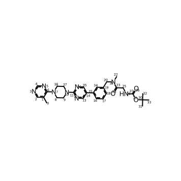 Cc1cncnc1N1CCN(c2ncc(-c3cccc(CN(C)C(=O)CNC(=O)OC(C)(C)C)c3)cn2)CC1